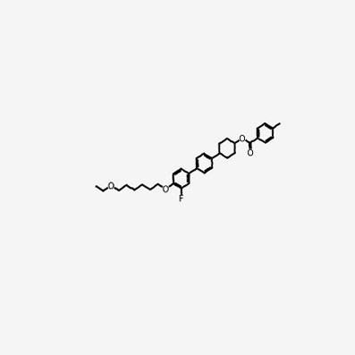 CCOCCCCCCOc1ccc(-c2ccc(C3CCC(OC(=O)c4ccc(C)cc4)CC3)cc2)cc1F